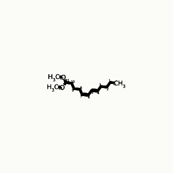 CCCC/C=C/C=C\CCCC(OC)OC